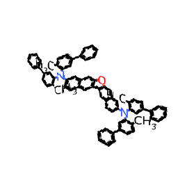 Cc1ccc(-c2ccccc2)cc1N(c1ccc2cc3c(cc2c1)oc1cc2cc(N(c4cc(-c5ccccc5)ccc4C)c4cc(-c5ccccc5)ccc4C)ccc2cc13)c1cc(-c2ccccc2)ccc1C